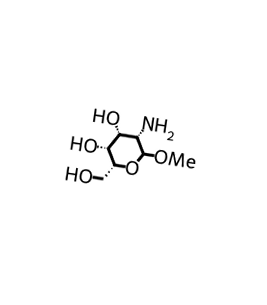 COC1O[C@H](CO)[C@H](O)[C@H](O)[C@@H]1N